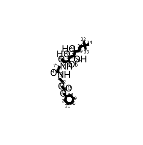 CO[C@@H](C(=O)N[C@@H](C)C(=O)NCCOC(=O)OC1CCCCC1)[C@H](O)[C@@H](O)[C@H](O)/C=C/C(C)(C)C